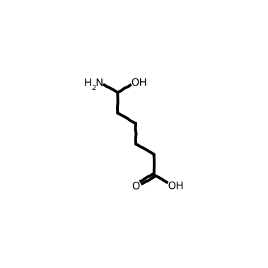 NC(O)CCCCC(=O)O